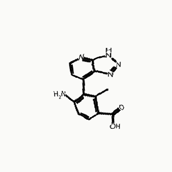 Cc1c(C(=O)O)ccc(N)c1-c1ccnc2[nH]nnc12